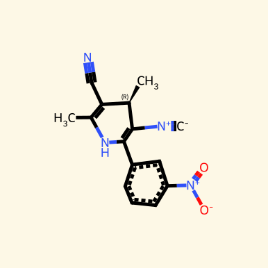 [C-]#[N+]C1=C(c2cccc([N+](=O)[O-])c2)NC(C)=C(C#N)[C@H]1C